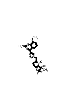 COc1cccc2c(-c3cn(Cc4cccc([C@](C)(O)C(F)(F)F)[n+]4[O-])nn3)nc(N)nc12